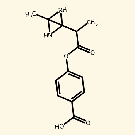 CC(C(=O)Oc1ccc(C(=O)O)cc1)C12NC1(C)N2